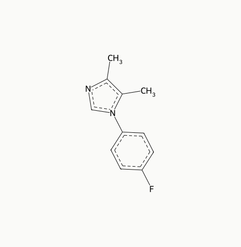 Cc1ncn(-c2ccc(F)cc2)c1C